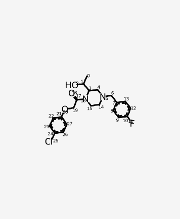 CC(O)C1CN(Cc2ccc(F)cc2)CCN1C(=O)COc1ccc(Cl)cc1